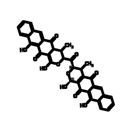 CC1C(C(=O)[C@@H]2O[C@@H](O)C3=C(C(=O)c4cc5ccccc5c(O)c4C3=O)C2C)OC(O)=C2C(=O)c3c(cc4ccccc4c3O)C(=O)C21